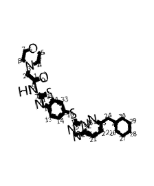 O=C(CN1CCOCC1)Nc1nc2ccc(Sc3nnc4ccc(CC5CCCCC5)nn34)cc2s1